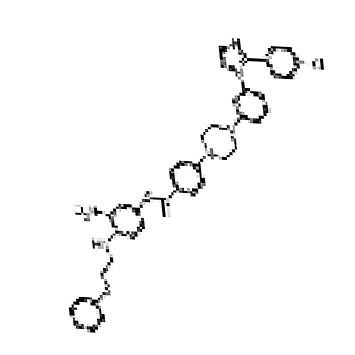 O=[N+]([O-])c1cc(SNc2ccc(N3CCN(c4cccc(-n5ccnc5-c5ccc(Cl)cc5)c4)CC3)cc2)ccc1NCCSc1ccccc1